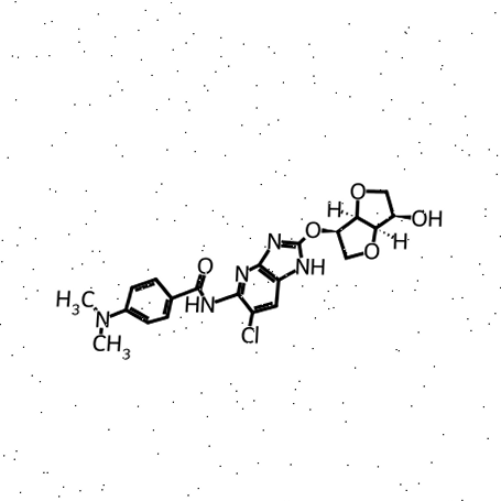 CN(C)c1ccc(C(=O)Nc2nc3nc(O[C@@H]4CO[C@H]5[C@@H]4OC[C@H]5O)[nH]c3cc2Cl)cc1